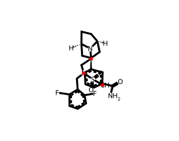 CS(=O)(=O)N(CCN1[C@@H]2CC[C@H]1C[C@@H](c1cccc(C(N)=O)c1)C2)Cc1c(F)cccc1F